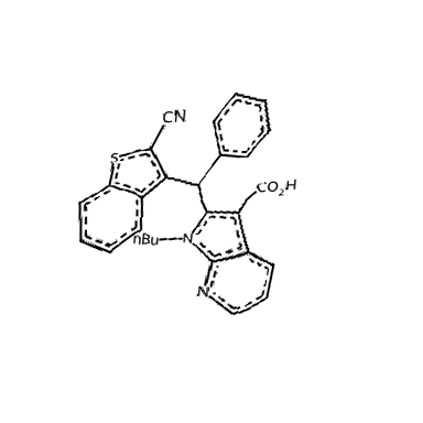 CCCCn1c(C(c2ccccc2)c2c(C#N)sc3ccccc23)c(C(=O)O)c2cccnc21